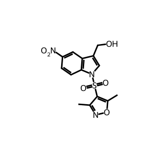 Cc1noc(C)c1S(=O)(=O)n1cc(CO)c2cc([N+](=O)[O-])ccc21